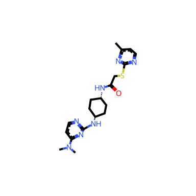 Cc1ccnc(SCC(=O)N[C@H]2CC[C@@H](Nc3nccc(N(C)C)n3)CC2)n1